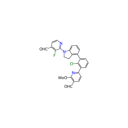 COc1nc(-c2cccc(-c3cccc4c3CCN4c3nccc(C=O)c3F)c2Cl)ccc1C=O